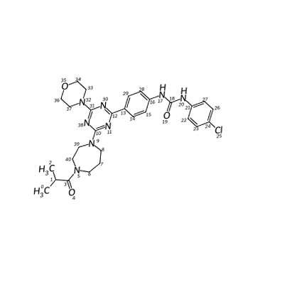 CC(C)C(=O)N1CCCN(c2nc(-c3ccc(NC(=O)Nc4ccc(Cl)cc4)cc3)nc(N3CCOCC3)n2)CC1